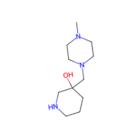 CN1CCN(CC2(O)CCCNC2)CC1